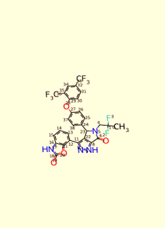 CC(F)(F)CN1C(=O)c2[nH]nc(-c3cccc4[nH]c(=O)oc34)c2C1c1ccc(Oc2ccc(C(F)(F)F)cc2C(F)(F)F)cc1